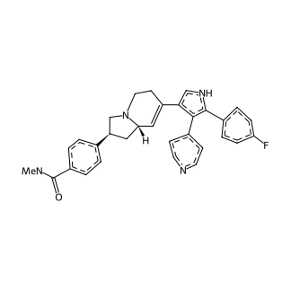 CNC(=O)c1ccc([C@@H]2C[C@H]3C=C(c4c[nH]c(-c5ccc(F)cc5)c4-c4ccncc4)CCN3C2)cc1